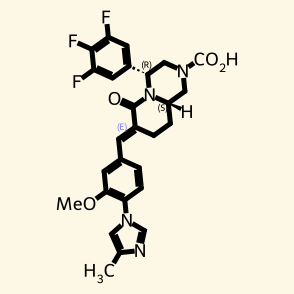 COc1cc(/C=C2\CC[C@H]3CN(C(=O)O)C[C@@H](c4cc(F)c(F)c(F)c4)N3C2=O)ccc1-n1cnc(C)c1